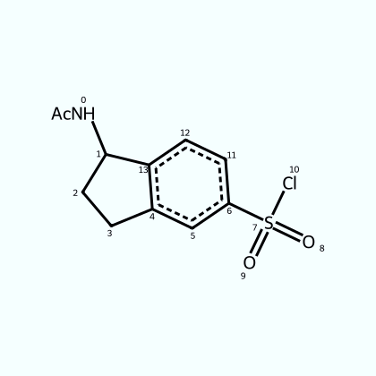 CC(=O)NC1CCc2cc(S(=O)(=O)Cl)ccc21